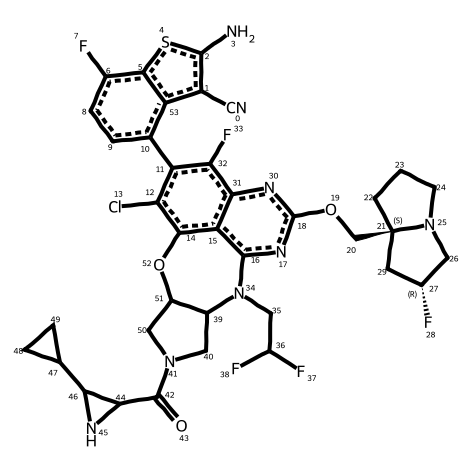 N#Cc1c(N)sc2c(F)ccc(-c3c(Cl)c4c5c(nc(OC[C@@]67CCCN6C[C@H](F)C7)nc5c3F)N(CC(F)F)C3CN(C(=O)C5NC5C5CC5)CC3O4)c12